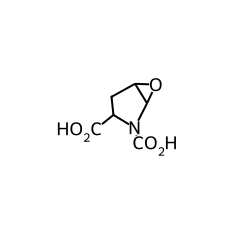 O=C(O)C1CC2OC2N1C(=O)O